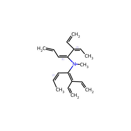 C=C/C=C(\C(C=C)=C/C)N(C)C(/C=C\C)=C(C=C)C=C